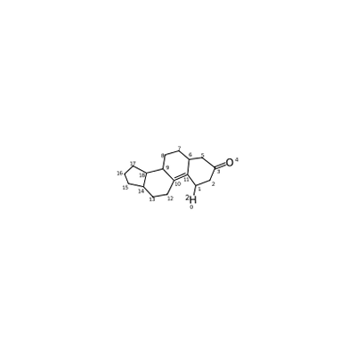 [2H]C1CC(=O)CC2CCC3C(=C12)CCC1CCCC13